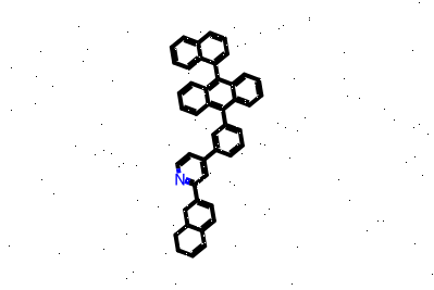 C1=CC2=CC=C(c3cc(-c4cccc(-c5c6ccccc6c(-c6cccc7ccccc67)c6ccccc56)c4)ccn3)CC2CC1